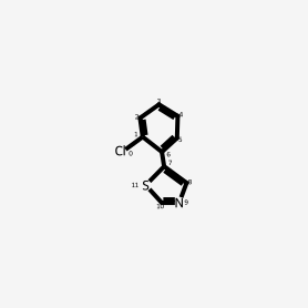 Clc1ccccc1-c1cncs1